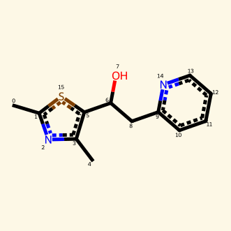 Cc1nc(C)c(C(O)Cc2ccccn2)s1